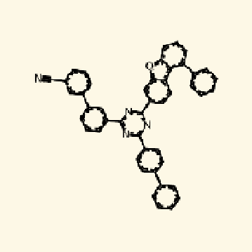 N#Cc1cccc(-c2cccc(-c3nc(-c4ccc(-c5ccccc5)cc4)nc(-c4ccc5c(c4)oc4cccc(-c6ccccc6)c45)n3)c2)c1